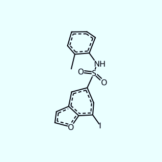 Cc1ccccc1NS(=O)(=O)c1cc(I)c2occc2c1